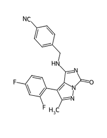 Cc1nn2c(c1-c1ccc(F)cc1F)C(NCc1ccc(C#N)cc1)=NC2=O